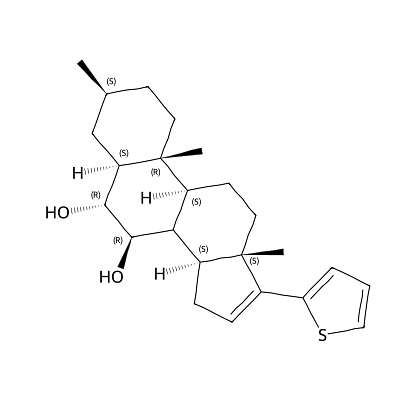 C[C@H]1CC[C@@]2(C)[C@H](C1)[C@@H](O)[C@H](O)C1[C@@H]2CC[C@]2(C)C(c3cccs3)=CC[C@@H]12